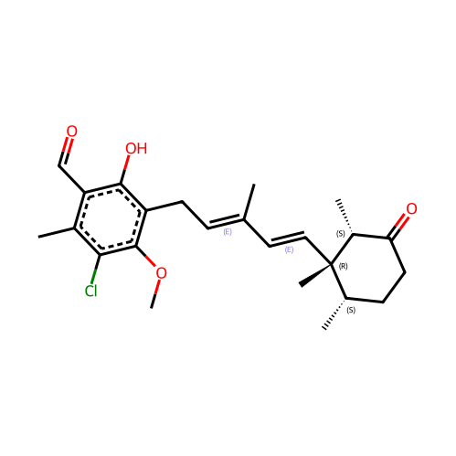 COc1c(Cl)c(C)c(C=O)c(O)c1C/C=C(C)/C=C/[C@]1(C)[C@H](C)C(=O)CC[C@@H]1C